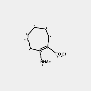 CCOC(=O)/C1=C(\NC(C)=O)CCCCCC1